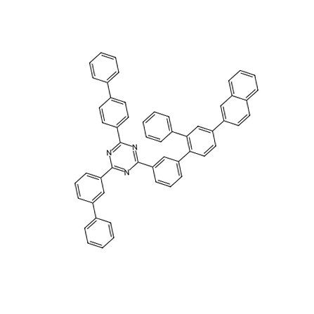 c1ccc(-c2ccc(-c3nc(-c4cccc(-c5ccccc5)c4)nc(-c4cccc(-c5ccc(-c6ccc7ccccc7c6)cc5-c5ccccc5)c4)n3)cc2)cc1